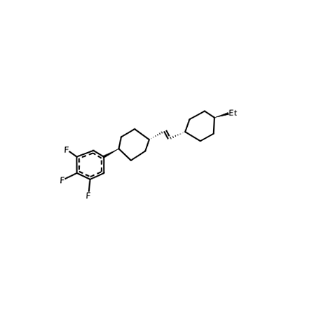 CC[C@H]1CC[C@H](C=C[C@H]2CC[C@H](c3cc(F)c(F)c(F)c3)CC2)CC1